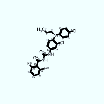 CCCN(c1ccc(Cl)cc1)c1ccc(NC(=O)NC(=O)c2c(F)cccc2F)cc1Cl